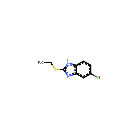 FC(F)(F)CSc1nc2cc(Cl)ccc2[nH]1